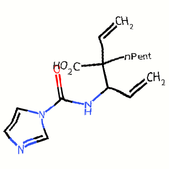 C=CC(NC(=O)n1ccnc1)C(C=C)(CCCCC)C(=O)O